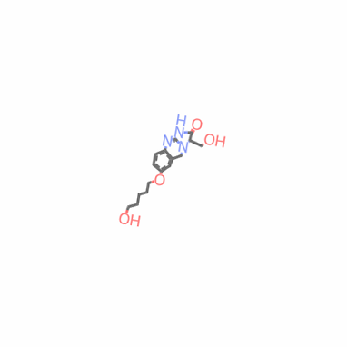 O=C1NC2=Nc3ccc(OCCCCCO)cc3CN2C1CO